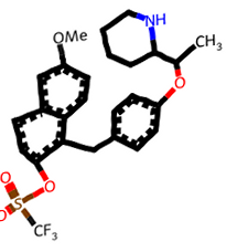 COc1ccc2c(Cc3ccc(OC(C)C4CCCCN4)cc3)c(OS(=O)(=O)C(F)(F)F)ccc2c1